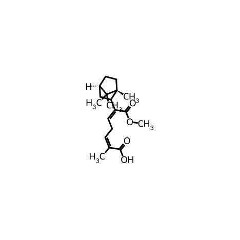 COC(=O)C(=CCC=C(C)C(=O)O)C1C[C@H]2CC[C@@]1(C)C2(C)C